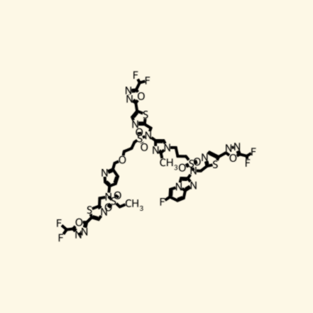 CCS(=O)(=O)N(Cc1ncc(-c2nnc(C(F)F)o2)s1)c1ccc(COCCCS(=O)(=O)N(Cc2ncc(-c3nnc(C(F)F)o3)s2)c2cn(CCCS(=O)(=O)N(Cc3ncc(-c4nnc(C(F)F)o4)s3)c3cn4cc(F)ccc4n3)c(C)n2)nc1